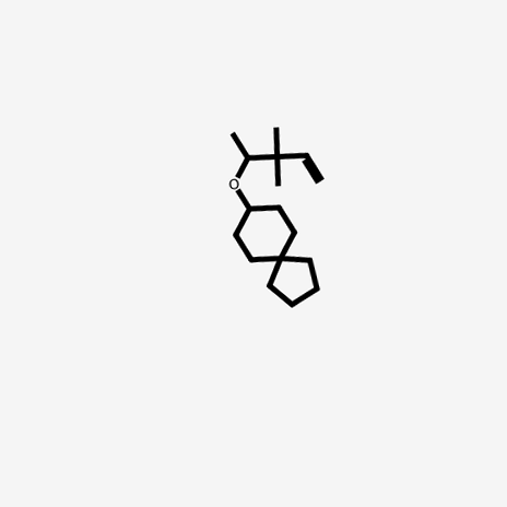 C=CC(C)(C)C(C)OC1CCC2(CCCC2)CC1